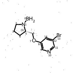 BN1CCC[C@H]1COc1cncc(Br)c1